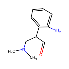 CN(C)CC(C=O)c1ccccc1N